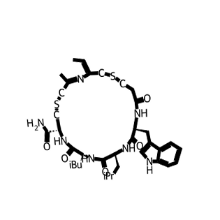 C/C=C1CSCCC(=O)N[C@@H](Cc2c[nH]c3ccccc23)C(=O)N[C@@H](CC(C)C)C(=O)N[C@@H]([C@@H](C)CC)C(=O)N[C@H](C(N)=O)CSC/C(C)=N/1